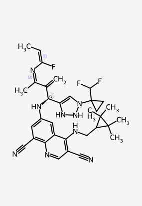 C=C(/C(C)=N\C(F)=C/C)[C@H](Nc1cc(C#N)c2ncc(C#N)c(NCC3C(C)(C)C3(C)C)c2c1)C1=CN(C2(C(F)F)CC2)NN1